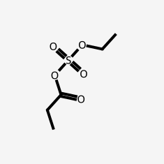 CCOS(=O)(=O)OC(=O)CC